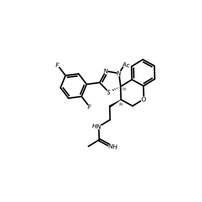 CC(=N)NCC[C@@H]1COc2ccccc2[C@@]12SC(c1cc(F)ccc1F)=NN2C(C)=O